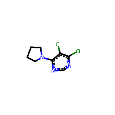 Fc1c(Cl)ncnc1N1CCCC1